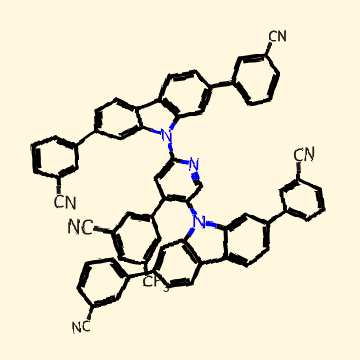 N#Cc1cccc(-c2ccc3c4ccc(-c5cccc(C#N)c5)cc4n(-c4cc(-c5cc(C#N)cc(C(F)(F)F)c5)c(-n5c6cc(-c7cccc(C#N)c7)ccc6c6ccc(-c7cccc(C#N)c7)cc65)cn4)c3c2)c1